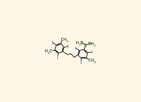 BB(B)c1c(I)c(C)c(I)c(CCCc2c(I)c(C)c(I)c(C)c2I)c1I